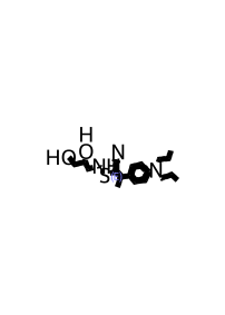 CCCN(CCC)c1ccc(/C(C)=C(\C#N)SNCC(O)CO)cc1